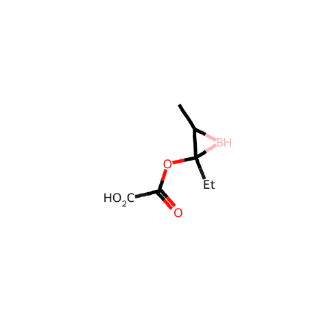 CCC1(OC(=O)C(=O)O)BC1C